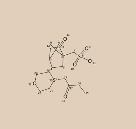 CC1(C)C2CCC1(CS(=O)(=O)[O-])C(=O)C2.CCC(=O)C[S+]1CCOCC1